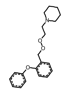 c1ccc(Oc2ccccc2COOCCN2CCCCC2)cc1